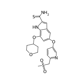 CS(=O)(=O)Cc1ccc(Oc2cc(OC3CCOCC3)c3[nH]c(C(N)=S)cc3c2)cn1